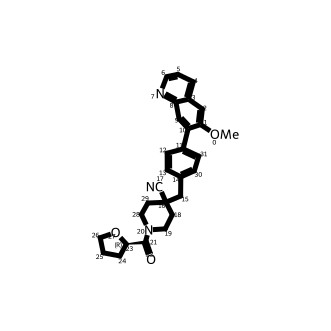 COc1cc2cccnc2cc1-c1ccc(CC2(C#N)CCN(C(=O)[C@H]3CCCO3)CC2)cc1